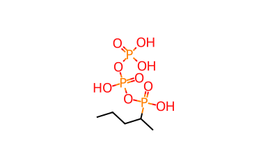 CCCC(C)P(=O)(O)OP(=O)(O)OP(=O)(O)O